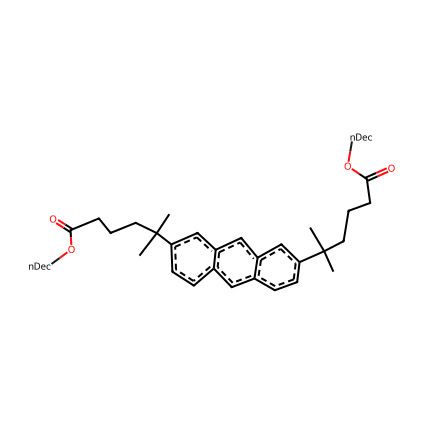 CCCCCCCCCCOC(=O)CCCC(C)(C)c1ccc2cc3ccc(C(C)(C)CCCC(=O)OCCCCCCCCCC)cc3cc2c1